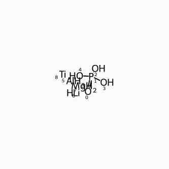 O=P(O)(O)O.[AlH3].[LiH].[MgH2].[Ti]